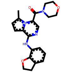 Cc1ccc2c(Nc3cccc4c3OCC4)ncc(C(=O)N3CCOCC3)n12